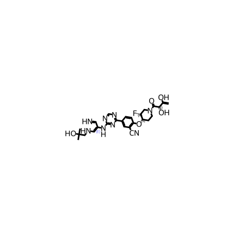 C=C(O)[C@H](O)C(=O)N1CC[C@H](Oc2ccc(-c3ncnc(N/C(C=N)=C/NCC(C)(C)O)n3)cc2C#N)[C@H](F)C1